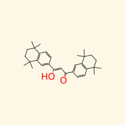 CC1(C)CCC(C)(C)c2cc(C(=O)/C=C(\O)c3ccc4c(c3)C(C)(C)CCC4(C)C)ccc21